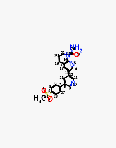 CS(=O)(=O)c1ccc(-c2cncc(-c3cnc4c(c3)CCCN4C(N)=O)c2)cc1